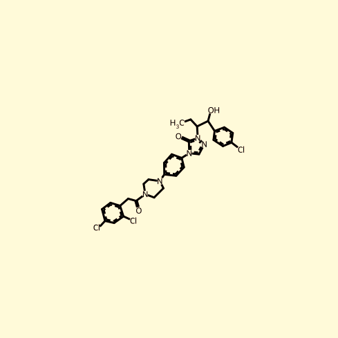 CCC(C(O)c1ccc(Cl)cc1)n1ncn(-c2ccc(N3CCN(C(=O)Cc4ccc(Cl)cc4Cl)CC3)cc2)c1=O